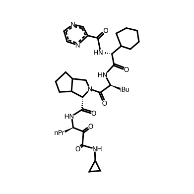 CCC[C@@H](NC(=O)[C@@H]1C2CCCC2CN1C(=O)[C@@H](NC(=O)[C@H](NC(=O)c1cnccn1)C1CCCCC1)C(C)CC)C(=O)C(=O)NC1CC1